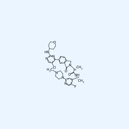 C[C@H](C(=O)N[C@H](C)c1cc(N2CCN(C)CC2)ncc1F)N1Cc2ccc(-c3nc(NC4CCOCC4)ncc3Cl)cc2C1=O